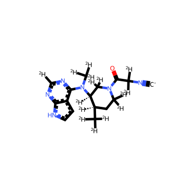 [2H]c1nc(N(C([2H])([2H])[2H])[C@@]2([2H])C([2H])([2H])N(C(=O)C([2H])([2H])[N+]#[C-])C([2H])([2H])C[C@@]2([2H])C([2H])([2H])[2H])c2cc[nH]c2n1